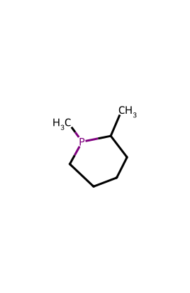 CC1CCCCP1C